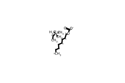 CCCCCCCCOC(=O)[O-].CC[N+](C)(C)C